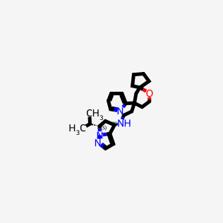 CC(C)[C@@H]1C[C@@H](NCCC2(c3ccccn3)CCOC3(CCCC3)C2)c2ccnn21